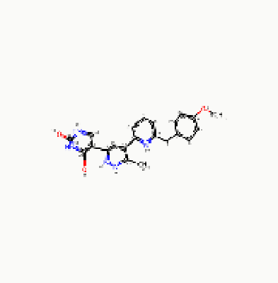 COc1ccc(Cc2cccc(-c3cc(-c4c[nH]c(=O)[nH]c4=O)nnc3C)n2)cc1